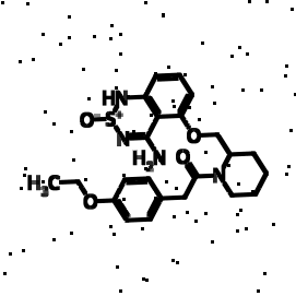 CCOc1ccc(CC(=O)N2CCCCC2COc2cccc3c2C(N)=N[S+]([O-])N3)cc1